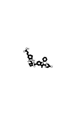 Cc1c(-c2ncc(Cl)cn2)n(C2CCCCC2)c2ccc(C(=O)NC3(c4nc5ccc(/C=C/C(=O)O)cc5n4C)CCC3)cc12